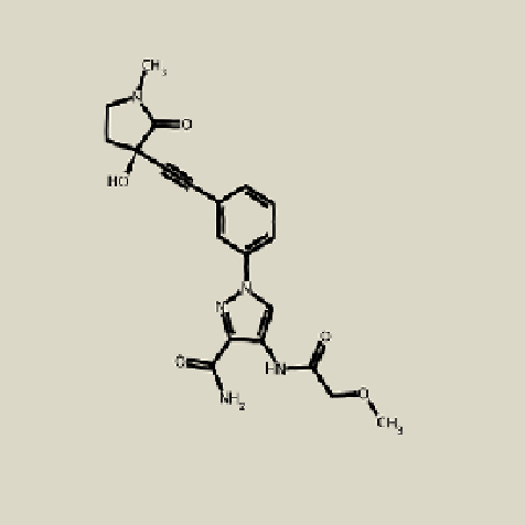 COCC(=O)Nc1cn(-c2cccc(C#C[C@]3(O)CCN(C)C3=O)c2)nc1C(N)=O